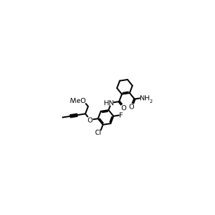 CC#CC(COC)Oc1cc(NC(=O)C2=C(C(N)=O)CCCC2)c(F)cc1Cl